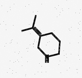 CC(C)=C1CCCNC1